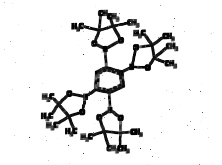 CC1(C)OB(c2cc(B3OC(C)(C)C(C)(C)O3)c(B3OC(C)(C)C(C)(C)O3)cc2B2OC(C)(C)C(C)(C)O2)OC1(C)C